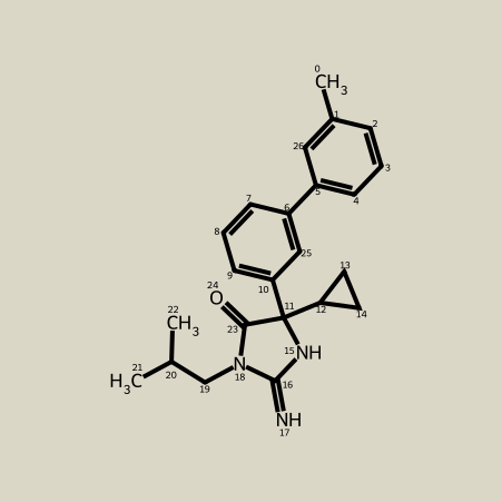 Cc1cccc(-c2cccc(C3(C4CC4)NC(=N)N(CC(C)C)C3=O)c2)c1